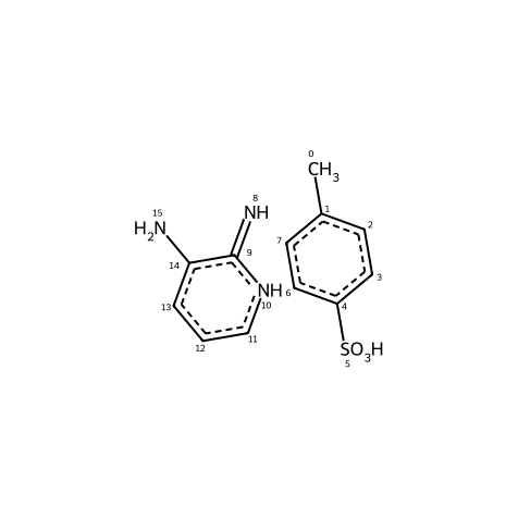 Cc1ccc(S(=O)(=O)O)cc1.N=c1[nH]cccc1N